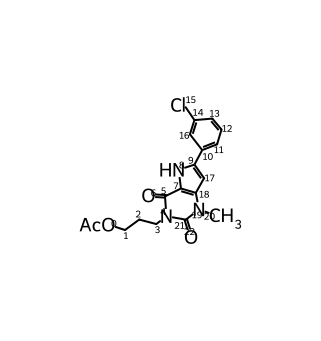 CC(=O)OCCCn1c(=O)c2[nH]c(-c3cccc(Cl)c3)cc2n(C)c1=O